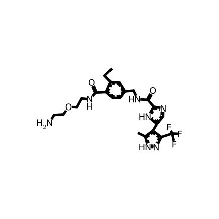 CCc1cc(CNC(=O)c2ncc(-c3c(C(F)(F)F)n[nH]c3C)[nH]2)ccc1C(=O)NCCOCCN